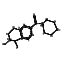 CC1c2ccc(C(=O)N3CCOCC3)cc2CCN1C